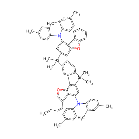 C=C/C=C\c1coc2c3c(cc(N(c4ccc(C)cc4)c4ccc(C)cc4C)c12)[Si](C)(C)c1cc2c(cc1-3)[Si](C)(C)c1cc(N(c3ccc(C)cc3)c3ccc(C)cc3C)c3c(oc4ccccc43)c1-2